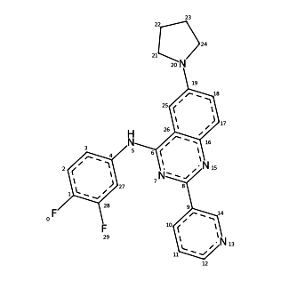 Fc1ccc(Nc2nc(-c3cccnc3)nc3ccc(N4CCCC4)cc23)cc1F